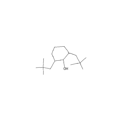 CC(C)(C)CC1CCCC(CC(C)(C)C)C1O